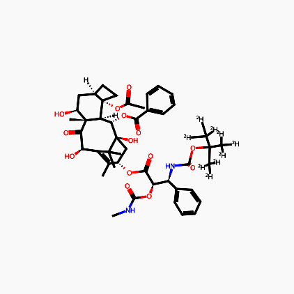 [2H]C([2H])([2H])C(OC(=O)N[C@@H](c1ccccc1)[C@@H](OC(=O)NC)C(=O)O[C@H]1C[C@@]2(O)[C@@H](OC(=O)c3ccccc3)[C@@H]3[C@]4(OC(C)=O)CC[C@@H]4C[C@H](O)[C@@]3(C)C(=O)[C@H](O)C(=C1C)C2(C)C)(C([2H])([2H])[2H])C([2H])([2H])[2H]